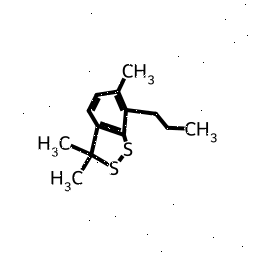 CCCc1c(C)ccc2c1SSC2(C)C